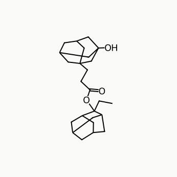 CCC1(OC(=O)CCC23CC4CC(CC(O)(C4)C2)C3)C2CC3CC(C2)CC1C3